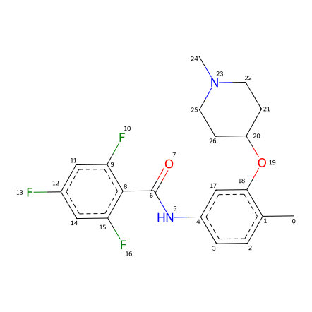 Cc1ccc(NC(=O)c2c(F)cc(F)cc2F)cc1OC1CCN(C)CC1